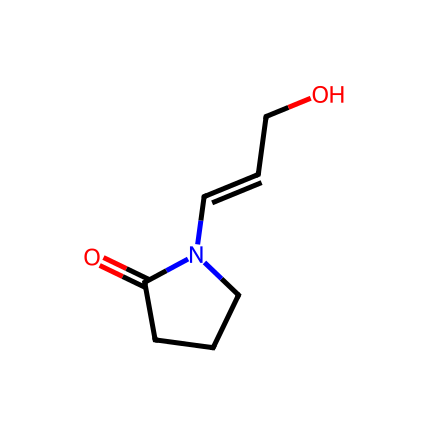 O=C1CCCN1C=CCO